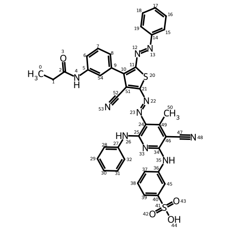 CCC(=O)Nc1cccc(-c2c(N=Nc3ccccc3)sc(N=Nc3c(Nc4ccccc4)nc(Nc4cccc(S(=O)(=O)O)c4)c(C#N)c3C)c2C#N)c1